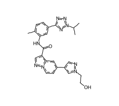 Cc1ccc(-c2nnn(C(C)C)n2)cc1NC(=O)c1cnn2ccc(-c3cnn(CCO)c3)cc12